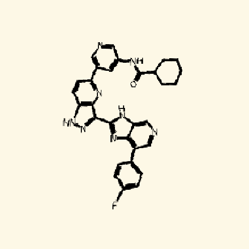 O=C(Nc1cncc(-c2ccc3[nH]nc(-c4nc5c(-c6ccc(F)cc6)cncc5[nH]4)c3n2)c1)C1CCCCC1